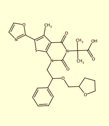 Cc1c(-c2ncco2)sc2c1c(=O)n(C(C)(C)C(=O)O)c(=O)n2CC(OCC1CCCO1)c1ccccc1